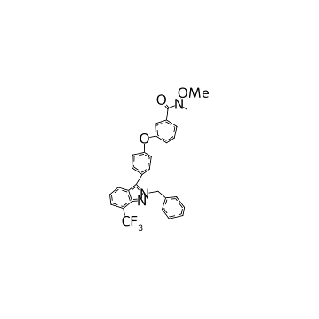 CON(C)C(=O)c1cccc(Oc2ccc(-c3c4cccc(C(F)(F)F)c4nn3Cc3ccccc3)cc2)c1